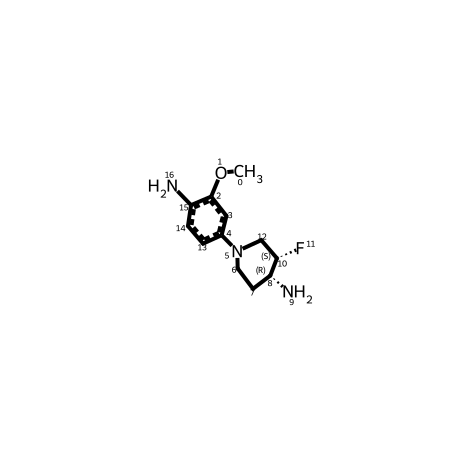 COc1cc(N2CC[C@@H](N)[C@@H](F)C2)ccc1N